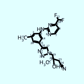 Cc1cc(Nc2nccc(C(F)F)n2)cc(-c2cn(C[C@](C)(O)CC#N)nn2)c1